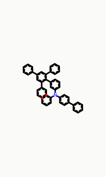 c1ccc(-c2ccc(N(c3ccccc3)c3cccc(-c4c(-c5ccccc5)cc(-c5ccccc5)cc4-c4ccccc4)c3)cc2)cc1